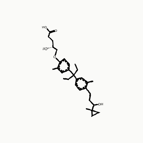 CCC(CC)(c1ccc(CCC(O)C2(C)CC2)c(C)c1)c1ccc(OC[C@H](O)CCC(=O)O)c(C)c1